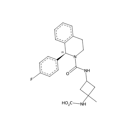 CC1(NC(=O)O)CC(NC(=O)N2CCc3ccccc3[C@@H]2c2ccc(F)cc2)C1